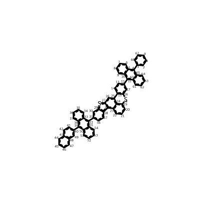 c1ccc(-c2c3ccccc3c(-c3ccc4c(c3)Sc3cccc5c3c-4cc3sc4cc(-c6c7ccccc7c(-c7ccc8ccccc8c7)c7ccccc67)ccc4c35)c3ccccc23)cc1